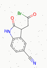 N#Cc1ccc2c(c1)C(CC(=O)Br)C(=O)N2